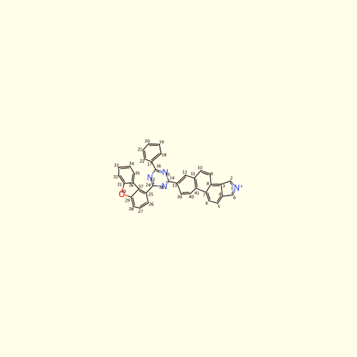 C1=[N+]=Cc2c1ccc1c2ccc2cc(-c3nc(-c4ccccc4)nc(-c4cccc5oc6ccccc6c45)n3)ccc21